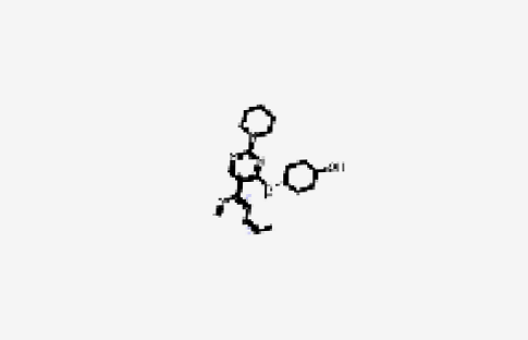 C=N/C(=C\C=C/C)c1cnc(N2CCCCC2)nc1N[C@H]1CC[C@H](O)CC1